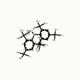 CB(c1c(C(F)(F)F)cc(C(F)(F)F)cc1C(F)(F)F)c1c(C(F)(F)F)cc(C(F)(F)F)cc1C(F)(F)F